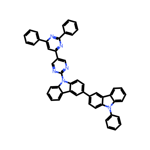 c1ccc(-c2cc(-c3cnc(-n4c5ccccc5c5cc(-c6ccc7c(c6)c6ccccc6n7-c6ccccc6)ccc54)nc3)nc(-c3ccccc3)n2)cc1